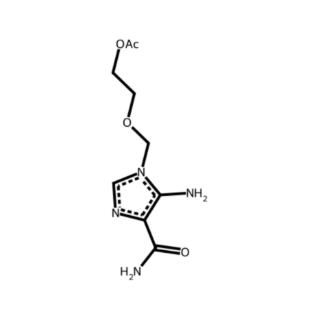 CC(=O)OCCOCn1cnc(C(N)=O)c1N